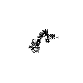 Cc1c(C(=O)O)c(-c2cc(F)cc(N3CCN(c4ccc(NS(=O)(=O)c5ccc(N[C@H](CCOP(=O)(O)O)CSc6ccccc6)c(S(C)(=O)=O)c5)cc4)CC3)c2)c(-c2ccc(Cl)cc2)n1C(C)C